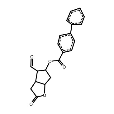 O=CC1C(OC(=O)c2ccc(-c3ccccc3)cc2)CC2OC(=O)CC21